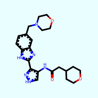 O=C(CC1CCOCC1)Nc1c[nH]nc1-c1nc2cc(CN3CCOCC3)ccc2[nH]1